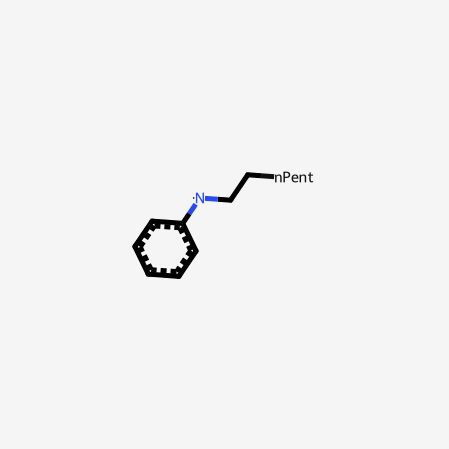 CCCCCCC[N]c1ccccc1